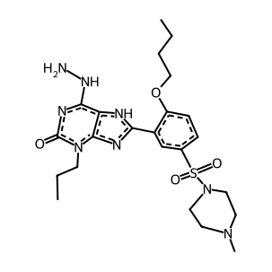 CCCCOc1ccc(S(=O)(=O)N2CCN(C)CC2)cc1-c1nc2c([nH]1)c(NN)nc(=O)n2CCC